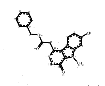 Cn1c2cc(Cl)ccc2c2c(CC(=O)OCc3ccccc3)n[nH]c(=O)c21